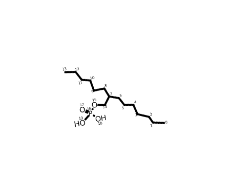 CCCCCCCC(CCCCCC)COP(=O)(O)O